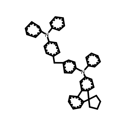 c1ccc(N(c2ccccc2)c2ccc(Cc3ccc(N(c4ccccc4)c4ccc5c(c4)-c4ccccc4C54CCCC4)cc3)cc2)cc1